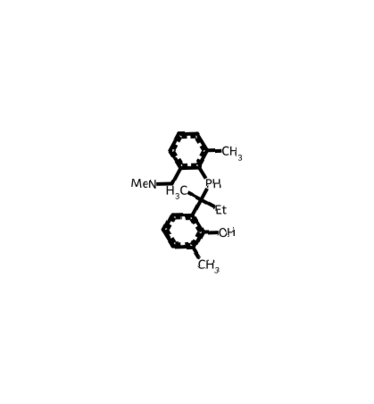 CCC(C)(Pc1c(C)cccc1CNC)c1cccc(C)c1O